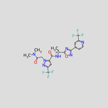 C[C@H](NC(=O)c1cc(C(F)(F)F)nn1CC(=O)N(C)C)c1nc(-c2ccnc(C(F)(F)F)c2)no1